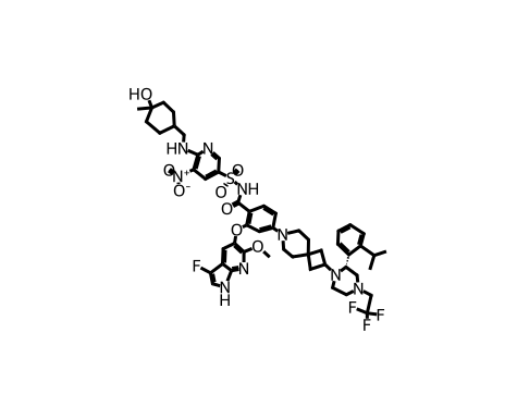 COc1nc2[nH]cc(F)c2cc1Oc1cc(N2CCC3(CC2)CC(N2CCN(CC(F)(F)F)C[C@H]2c2ccccc2C(C)C)C3)ccc1C(=O)NS(=O)(=O)c1cnc(NCC2CCC(C)(O)CC2)c([N+](=O)[O-])c1